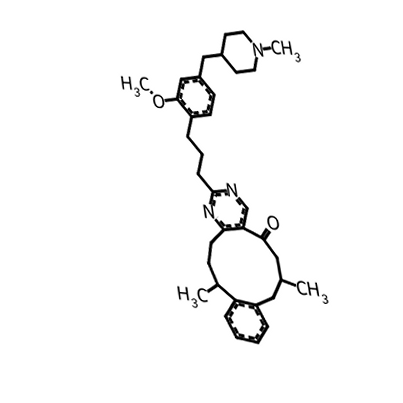 COc1cc(CC2CCN(C)CC2)ccc1CCCc1ncc2c(n1)CCC(C)c1ccccc1CC(C)CC2=O